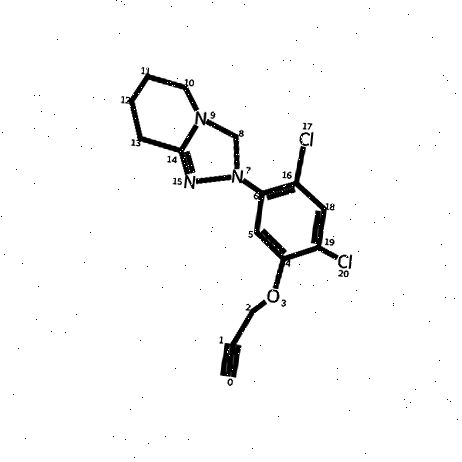 C#CCOc1cc(N2CN3CCCCC3=N2)c(Cl)cc1Cl